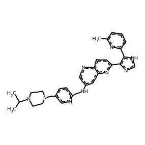 Cc1cccc(-c2[nH]cnc2-c2ccc3ncc(Nc4ccc(N5CCN(C(C)C)CC5)cn4)cc3n2)n1